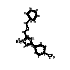 CCn1nc(-c2ccc(C(F)(F)F)cc2)nc1COCc1ccccc1